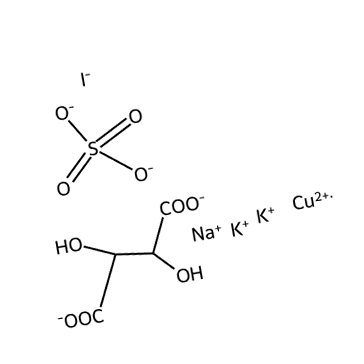 O=C([O-])C(O)C(O)C(=O)[O-].O=S(=O)([O-])[O-].[Cu+2].[I-].[K+].[K+].[Na+]